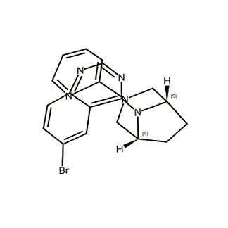 Brc1ccc2ncnc(N3[C@@H]4CC[C@H]3CN(c3ccccn3)C4)c2c1